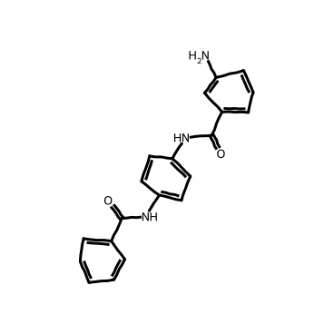 Nc1cccc(C(=O)Nc2ccc(NC(=O)c3ccccc3)cc2)c1